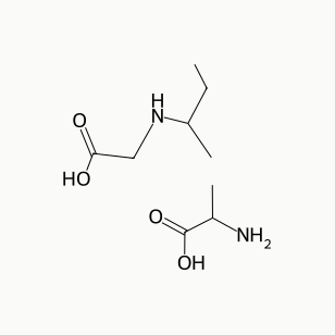 CC(N)C(=O)O.CCC(C)NCC(=O)O